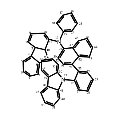 C1=CC2c3ccccc3SC2C(N(c2ccccc2)c2ccc(-c3ccccc3-n3c4ccccc4c4ccccc43)c3ccccc23)=C1